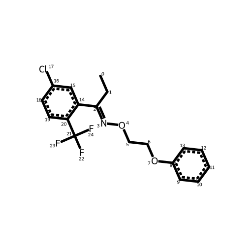 CC/C(=N\OCCOc1ccccc1)c1cc(Cl)ccc1C(F)(F)F